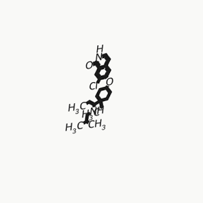 CCC(NCC(C)C)C1(CC)CCC(Oc2cc3cc[nH]c(=O)c3cc2Cl)CC1